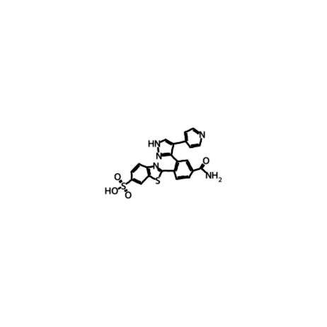 NC(=O)c1ccc(-c2nc3ccc(S(=O)(=O)O)cc3s2)c(-c2n[nH]cc2-c2ccncc2)c1